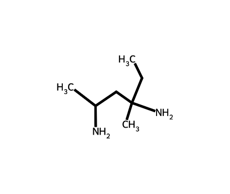 CCC(C)(N)CC(C)N